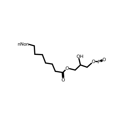 CCCCCCCCCCCCCCCC(=O)OCC(O)COP=O